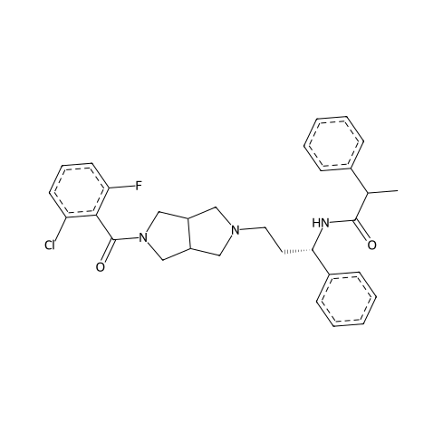 CC(C(=O)N[C@@H](CCN1CC2CN(C(=O)c3c(F)cccc3Cl)CC2C1)c1ccccc1)c1ccccc1